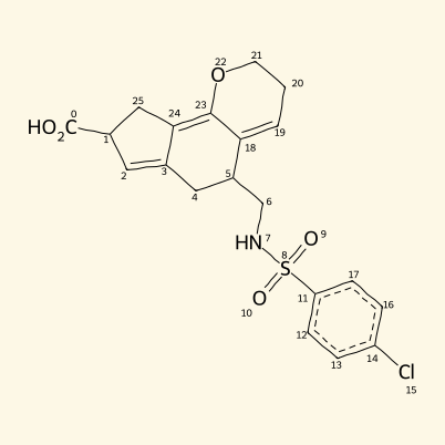 O=C(O)C1C=C2CC(CNS(=O)(=O)c3ccc(Cl)cc3)C3=CCCOC3=C2C1